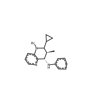 CC(=O)N1c2cccnc2[C@@H](Nc2ccccc2)[C@H](C)C1C1CC1